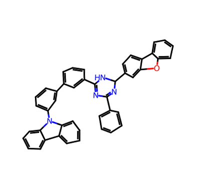 c1ccc(C2=NC(c3ccc4c(c3)oc3ccccc34)NC(c3cccc(-c4cccc(-n5c6ccccc6c6ccccc65)c4)c3)=N2)cc1